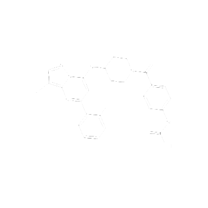 CC(=O)Nc1ccc(C(=O)N2CCC(Nc3cc(-c4ccccc4Cl)nc4c(Br)cnn34)CC2)cc1